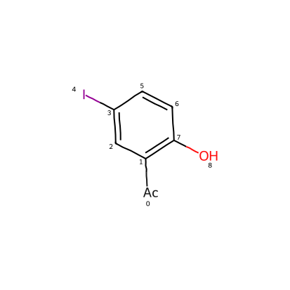 CC(=O)c1cc(I)ccc1O